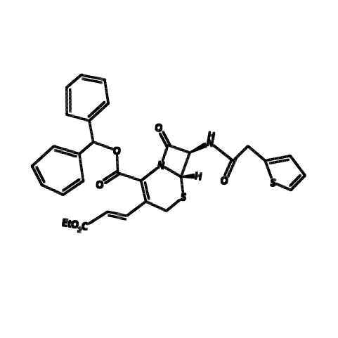 CCOC(=O)C=CC1=C(C(=O)OC(c2ccccc2)c2ccccc2)N2C(=O)[C@@H](NC(=O)Cc3cccs3)[C@@H]2SC1